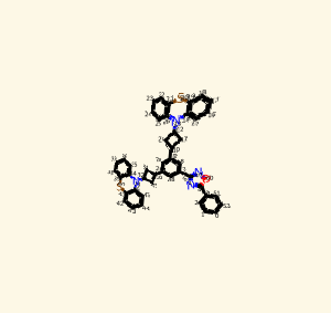 c1ccc(-c2nc(-c3cc(C4CC(N5c6ccccc6Sc6ccccc65)C4)cc(C4CC(N5c6ccccc6Sc6ccccc65)C4)c3)no2)cc1